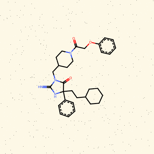 N=C1NC(CCC2CCCCC2)(c2ccccc2)C(=O)N1CC1CCN(C(=O)COc2ccccc2)CC1